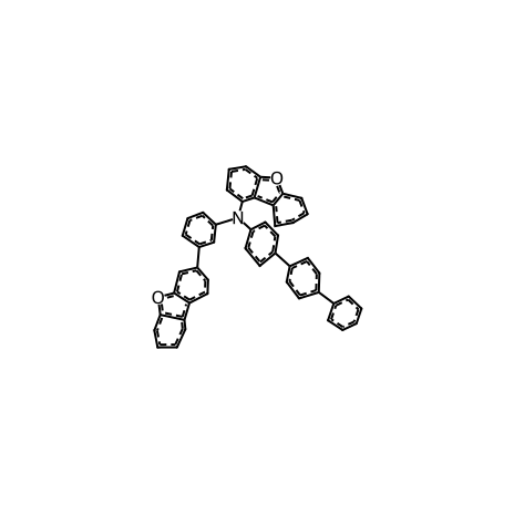 c1ccc(-c2ccc(-c3ccc(N(c4cccc(-c5ccc6c(c5)oc5ccccc56)c4)c4cccc5oc6ccccc6c45)cc3)cc2)cc1